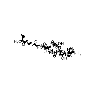 C=C(C(=O)SCCNC(=O)CCNC(=O)[C@H](O)C(C)(C)COP(=O)(O)OP(=O)(O)OC[C@H]1O[C@@H](n2cnc3c(N)ncnc32)[C@H](O)[C@@H]1OP(=O)(O)O)C1CC1